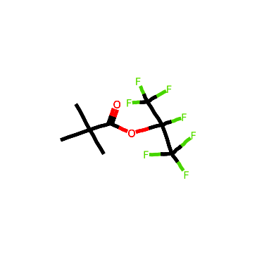 CC(C)(C)C(=O)OC(F)(C(F)(F)F)C(F)(F)F